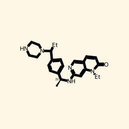 CCC(c1ccc([C@H](C)Nc2cc3c(ccc(=O)n3CC)cn2)cc1)N1CCNCC1